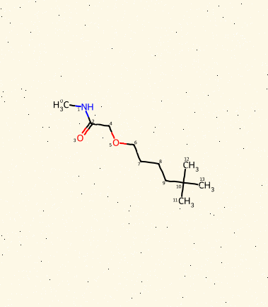 CNC(=O)COCCCCC(C)(C)C